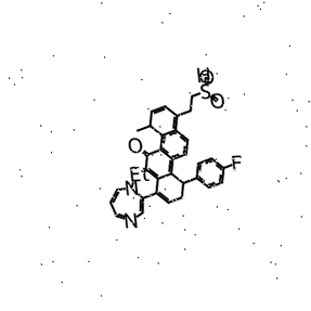 CCN1C=CC=NC=C1C1=CCC(c2ccc(F)cc2)C2=c3ccc4c(c3C(=O)C=C12)C(C)C=CC=4CC[SH](=O)=O